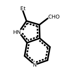 CCc1[nH]c2cnccc2c1C=O